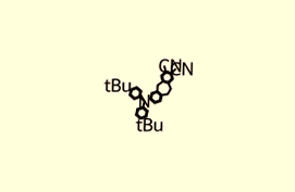 CC(C)(C)c1ccc(N(c2ccc(C(C)(C)C)cc2)c2ccc3c(c2)Cc2cc(C#N)c(C#N)cc2CC3)cc1